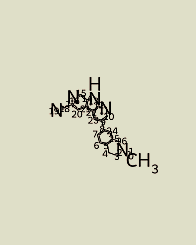 CCN1CCc2ccc(-c3cnc4[nH]c5cnc(C#N)cc5c4c3)cc2C1